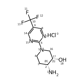 Cl.N[C@@H]1CCN(c2ncc(C(F)(F)F)cn2)C[C@@H]1O